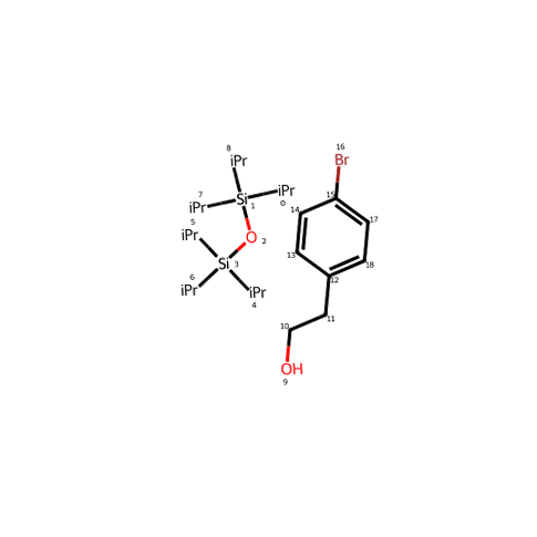 CC(C)[Si](O[Si](C(C)C)(C(C)C)C(C)C)(C(C)C)C(C)C.OCCc1ccc(Br)cc1